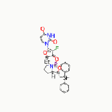 CC[C@H]1O[C@@H](n2ccc(=O)[nH]c2=O)C(F)[C@H]1O[P@@]1O[C@H](C[Si](C)(c2ccccc2)c2ccccc2)[C@@H]2CCCN21